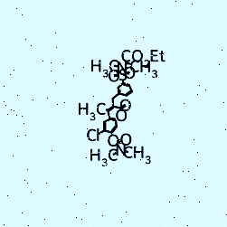 CCOC(=O)C(C)N(C)S(=O)(=O)c1cccc(Cc2c(C)c3cc(Cl)c(OC(=O)N(C)C)cc3oc2=O)c1